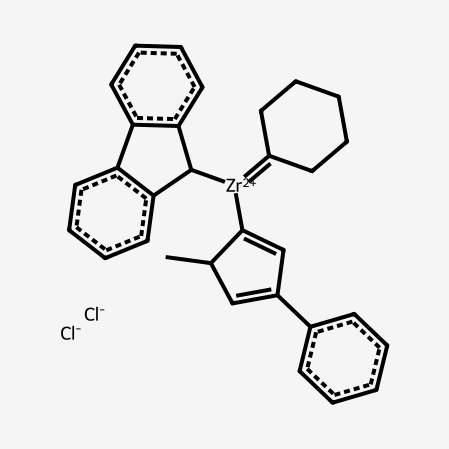 CC1C=C(c2ccccc2)C=[C]1[Zr+2](=[C]1CCCCC1)[CH]1c2ccccc2-c2ccccc21.[Cl-].[Cl-]